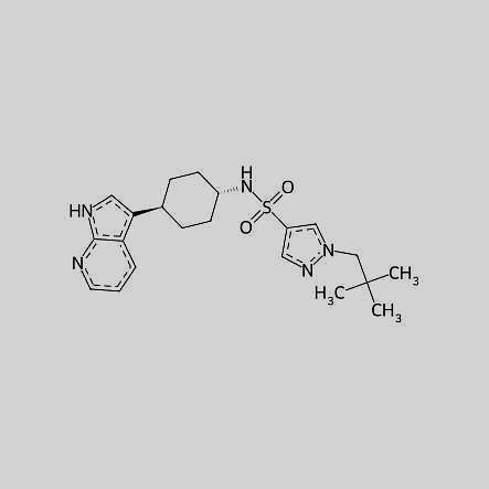 CC(C)(C)Cn1cc(S(=O)(=O)N[C@H]2CC[C@H](c3c[nH]c4ncccc43)CC2)cn1